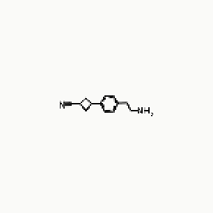 N#CC1CC(c2ccc(CCN)cc2)C1